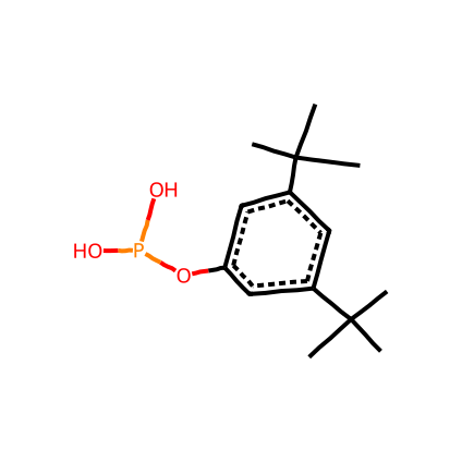 CC(C)(C)c1cc(OP(O)O)cc(C(C)(C)C)c1